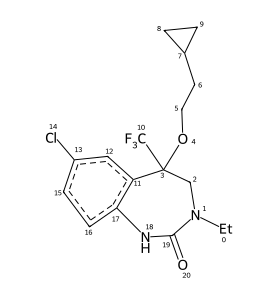 CCN1CC(OCCC2CC2)(C(F)(F)F)c2cc(Cl)ccc2NC1=O